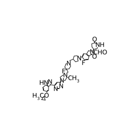 C[C@H]1CN(c2cc(-c3n[nH]c4ccc(OC5(C)CC5)cc34)ncn2)CCN1CC1(F)CCN(CC2CCN(c3cc4c(cc3F)C(=O)N(C3(C=O)CCC(=O)NC3)C4)CC2)CC1